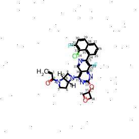 C=CC(=O)N1CC[C@@H]2[C@H]1CN2c1nc(OC2COC2)nc2c(F)c(-c3cccc4ccc(F)c(Cl)c34)ncc12